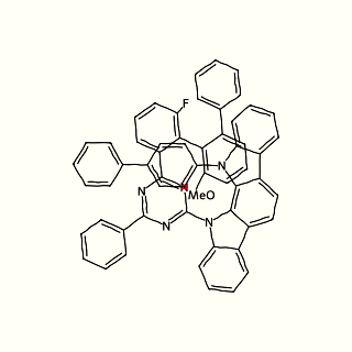 COc1cccc(-c2ccccc2)c1-c1c(F)cccc1-c1nc(-c2ccccc2)nc(-n2c3ccccc3c3ccc4c5ccccc5n(-c5ccc(-c6ccccc6)cc5)c4c32)n1